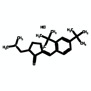 CN(C)CC1CCC(=Cc2ccc(C(C)(C)C)cc2C(C)(C)C)C1=O.Cl